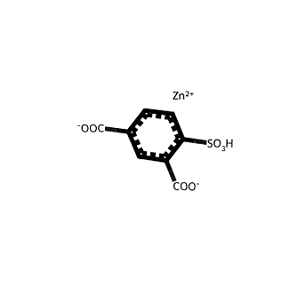 O=C([O-])c1ccc(S(=O)(=O)O)c(C(=O)[O-])c1.[Zn+2]